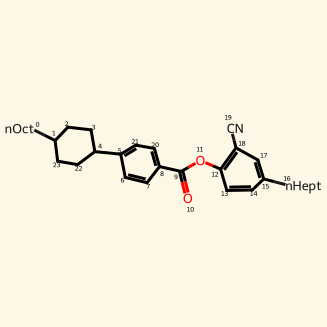 CCCCCCCCC1CCC(c2ccc(C(=O)Oc3ccc(CCCCCCC)cc3C#N)cc2)CC1